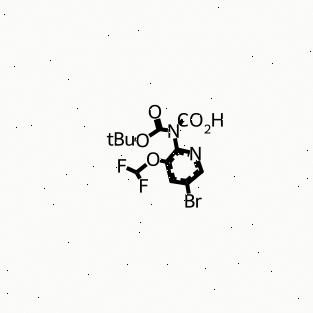 CC(C)(C)OC(=O)N(C(=O)O)c1ncc(Br)cc1OC(F)F